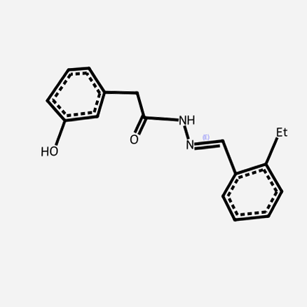 CCc1ccccc1/C=N/NC(=O)Cc1cccc(O)c1